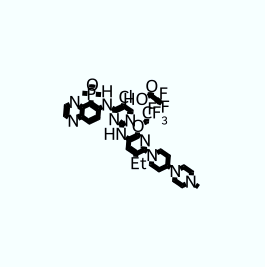 CCc1cc(Nc2ncc(Cl)c(Nc3ccc4nccnc4c3P(C)(C)=O)n2)c(OCC(F)(F)F)nc1N1CCC(N2CCN(C)CC2)CC1.O=C(O)C(F)(F)F